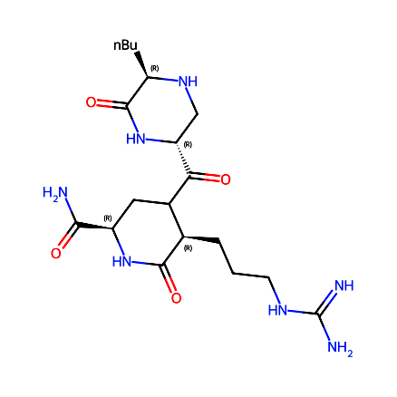 CCCC[C@H]1NC[C@H](C(=O)C2C[C@H](C(N)=O)NC(=O)[C@@H]2CCCNC(=N)N)NC1=O